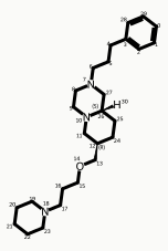 c1ccc(CCCN2CCN3C[C@H](COCCCN4CCCCC4)CC[C@H]3C2)cc1